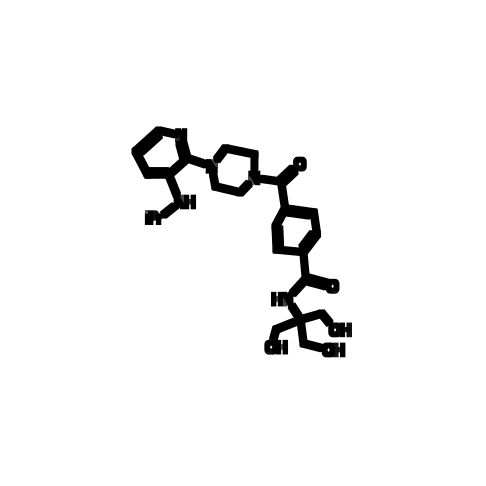 CC(C)Nc1cccnc1N1CCN(C(=O)c2ccc(C(=O)NC(CO)(CO)CO)cc2)CC1